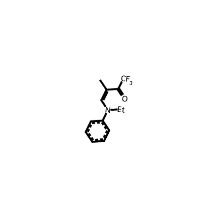 CCN(/C=C(/C)C(=O)C(F)(F)F)c1ccccc1